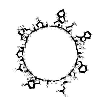 CCCC[C@H]1C(=O)N(C)[C@@H](Cc2ccccc2)C(=O)N[C@@H](CN)C(=O)N[C@H](C(=O)NCC(N)=O)CSCC(=O)N[C@@H](Cc2ccc(O)cc2)C(=O)N(C)[C@@H](C)C(=O)N[C@@H](CC(N)=O)C(=O)N2CCC[C@H]2C(=O)N[C@@H](Cc2c[nH]cn2)C(=O)N[C@@H](CCC(=O)O)C(=O)N2C[C@H](O)C[C@H]2C(=O)N[C@@H](Cc2c[nH]c3ccccc23)C(=O)N[C@@H](CCN)C(=O)N[C@@H](Cc2c[nH]c3ccccc23)C(=O)N1C